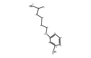 CCCCC(C)CCCCOc1cccc(O)c1